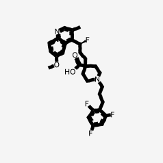 COc1ccc2ncc(C)c([C@@H](F)CCC3(C(=O)O)CCN(CCCc4c(F)cc(F)cc4F)CC3)c2c1